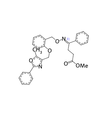 COC(=O)CC/C(=N\OCc1ccccc1OCc1nc(-c2ccccc2)oc1C)c1ccccc1